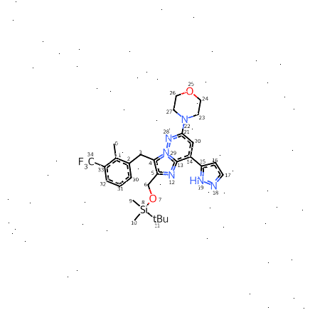 Cc1c(Cc2c(CO[Si](C)(C)C(C)(C)C)nc3c(-c4ccn[nH]4)cc(N4CCOCC4)nn23)cccc1C(F)(F)F